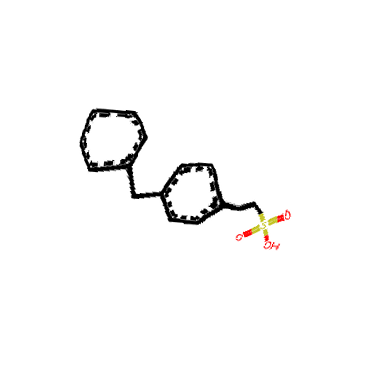 O=S(=O)(O)Cc1ccc(Cc2ccccc2)cc1